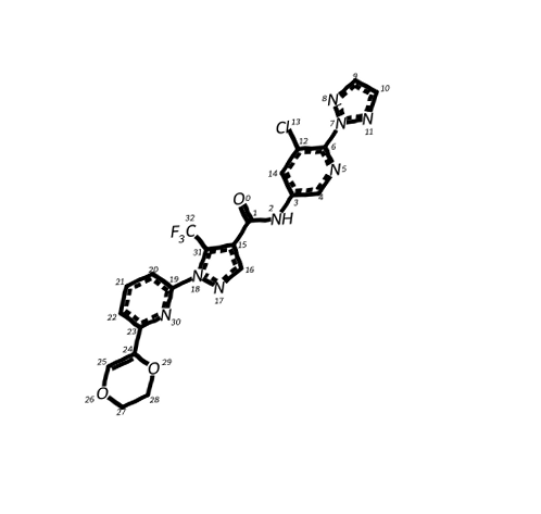 O=C(Nc1cnc(-n2nccn2)c(Cl)c1)c1cnn(-c2cccc(C3=COCCO3)n2)c1C(F)(F)F